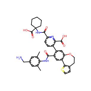 Cc1cc(CN)cc(C)c1NC(=O)c1cc2c(cc1-c1ccc(C(=O)NC3(C(=O)O)CCCCC3)nc1C(=O)O)OCCc1ccsc1-2